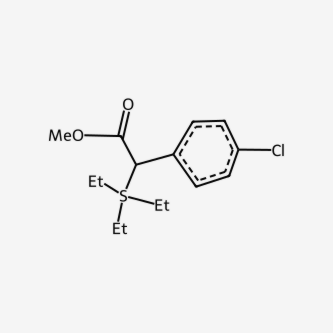 CCS(CC)(CC)C(C(=O)OC)c1ccc(Cl)cc1